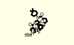 CCN(C)C(=O)[C@@H]1C[C@H](N(C(=O)[C@@H]2CCCO2)C2CCC(C)(C)CC2)CN1C(=O)[C@@H]1CN(C(C)(C)C)C[C@H]1c1ccc(F)cc1F